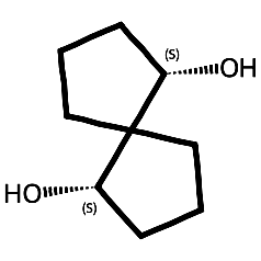 O[C@H]1CCCC12CCC[C@@H]2O